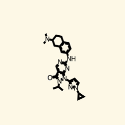 CC(C)n1c(=O)c2cnc(Nc3ccc4c(c3)CC(N(C)C)CC4)nc2n1-c1ccn(C2CC2)n1